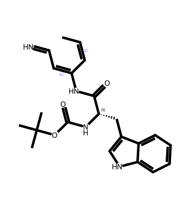 C/C=C\C(=C/C=N)NC(=O)[C@H](Cc1c[nH]c2ccccc12)NC(=O)OC(C)(C)C